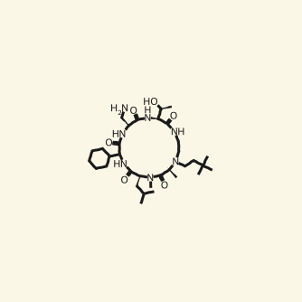 CC(C)C[C@H]1C(=O)NC(C2CCCCC2)C(=O)N[C@@H](CN)C(=O)N[C@@H]([C@H](C)O)C(=O)NCCN(CCC(C)(C)C)[C@@H](C)C(=O)N1C